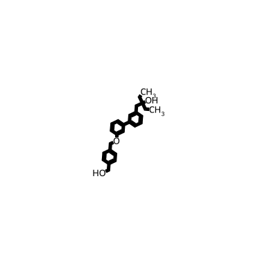 CCC(O)(CC)Cc1cccc(-c2cccc(OCc3ccc(CO)cc3)c2)c1